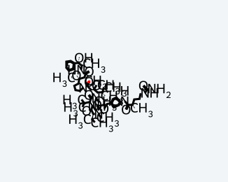 CC[C@H](C)[C@@H]([C@@H](CC(=O)N1CCCC1[C@H](OC)[C@@H](C)C(=O)N[C@H](C)[C@@H](O)c1ccccc1)OC)N(C)C(=O)[C@@H](NC(=O)[C@H](C(C)C)N(C)C(=O)OCc1ccc(NC(=O)[C@@H](C)CCCNC(N)=O)cc1)C(C)C